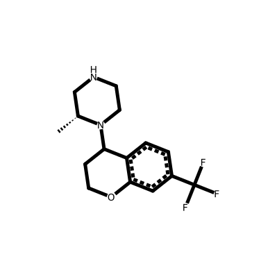 C[C@@H]1CNCCN1C1CCOc2cc(C(F)(F)F)ccc21